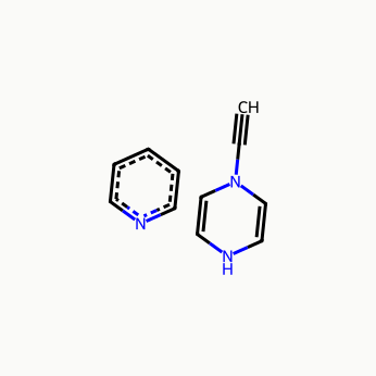 C#CN1C=CNC=C1.c1ccncc1